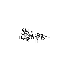 Cc1noc(-c2ccc(C(=O)NC(Cc3ccc(O)cc3)C(=O)O)cc2)c1NC(=O)OC(C)c1ccccc1Cl